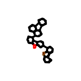 c1ccc2c(c1)-c1cccc3c(-c4cccc5oc6cc(-c7cccc8c7sc7ccccc78)ccc6c45)ccc-2c13